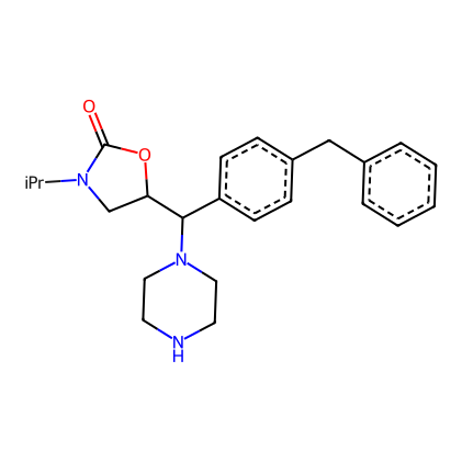 CC(C)N1CC(C(c2ccc(Cc3ccccc3)cc2)N2CCNCC2)OC1=O